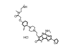 CNCCN(C)C(=O)COc1ccc(N2CCN(CCn3c(=O)sc4c3nc(N)n3nc(-c5ccco5)nc43)CC2)c(F)c1.Cl